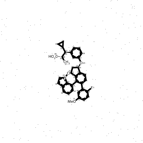 COc1ccc(F)c(-c2ccc3c(c2-c2cccc4ccn(C)c24)CC[C@H]3Oc2cccc([C@H](C3CC3)[C@H](C)C(=O)O)c2)c1